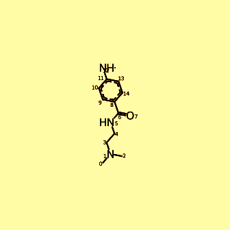 CN(C)CCNC(=O)c1ccc([NH])cc1